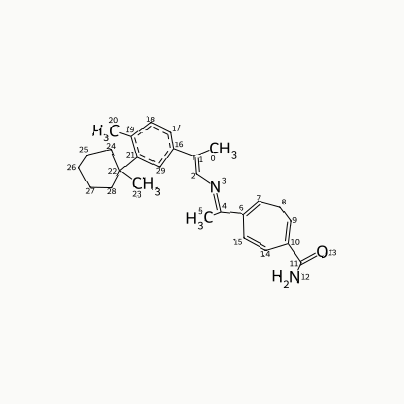 C/C(=C\N=C(/C)C1=CCC=C(C(N)=O)C=C1)c1ccc(C)c(C2(C)CCCCC2)c1